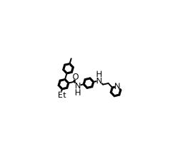 CCc1ccc(-c2ccc(C)cc2)c(C(=O)Nc2ccc(NCCc3ccccn3)cc2)c1